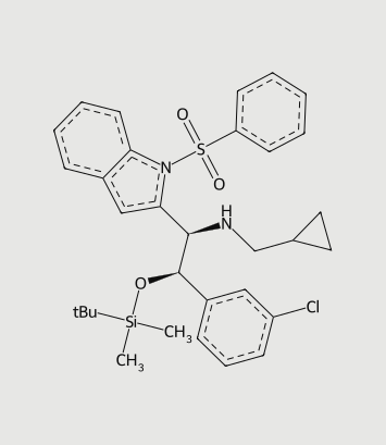 CC(C)(C)[Si](C)(C)O[C@H](c1cccc(Cl)c1)[C@H](NCC1CC1)c1cc2ccccc2n1S(=O)(=O)c1ccccc1